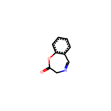 O=C1CN=Cc2ccccc2O1